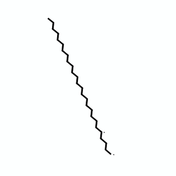 [CH2]CCC[CH]CCCCCCCCCCCCCCCCCCCCC